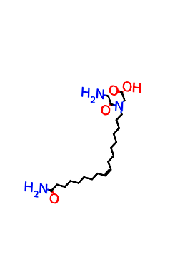 NCC(=O)N(CCCCCCCC/C=C\CCCCCCCC(N)=O)CC(=O)O